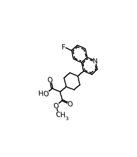 COC(=O)C(C(=O)O)C1CCC(c2ccnc3ccc(F)cc23)CC1